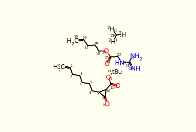 C=CCCCCCC1C(=O)C1C(=O)OC(C)(C)C.C=CCCCOC(=O)CNC(=N)N.[2H]C([2H])[2H]